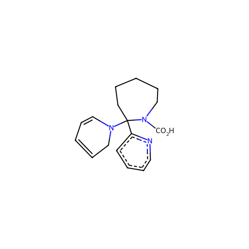 O=C(O)N1CCCCCC1(c1ccccn1)N1C=CC=CC1